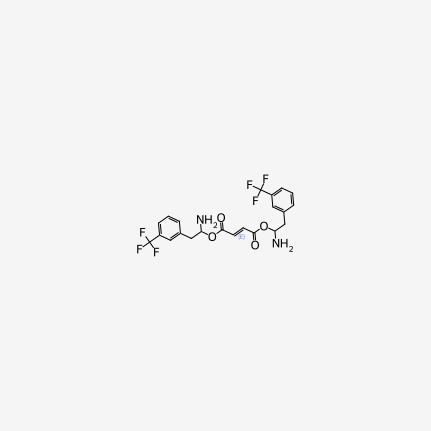 NC(Cc1cccc(C(F)(F)F)c1)OC(=O)/C=C/C(=O)OC(N)Cc1cccc(C(F)(F)F)c1